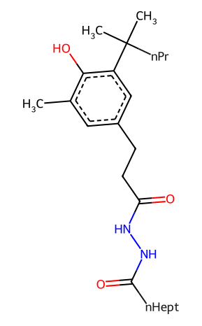 CCCCCCCC(=O)NNC(=O)CCc1cc(C)c(O)c(C(C)(C)CCC)c1